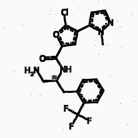 Cn1nccc1-c1cc(C(=O)N[C@H](CN)Cc2ccccc2C(F)(F)F)oc1Cl